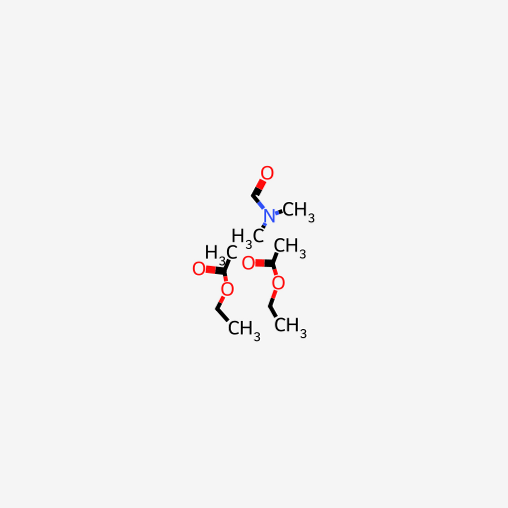 CCOC(C)=O.CCOC(C)=O.CN(C)C=O